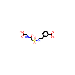 O=C(O)CNC(=O)CS(=O)(=O)NCCc1cccc(C(=O)O)c1